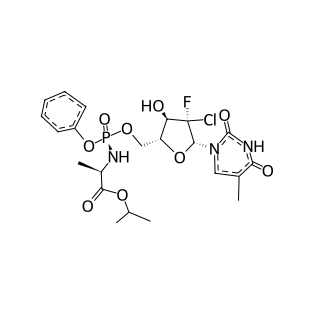 Cc1cn([C@@H]2O[C@H](CO[P@](=O)(N[C@H](C)C(=O)OC(C)C)Oc3ccccc3)[C@@H](O)[C@@]2(F)Cl)c(=O)[nH]c1=O